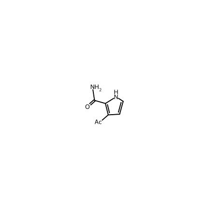 CC(=O)c1cc[nH]c1C(N)=O